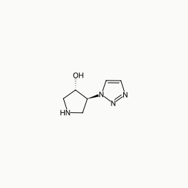 O[C@H]1CNC[C@@H]1n1ccnn1